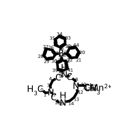 CCN1CCCNCCN(CC)CCCNCC1.[Cl-].[Mn+2].c1ccc([B-](c2ccccc2)(c2ccccc2)c2ccccc2)cc1